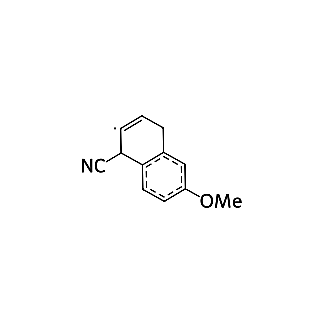 COc1ccc2c(c1)CC=[C]C2C#N